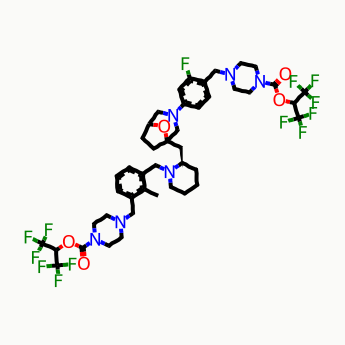 Cc1c(CN2CCN(C(=O)OC(C(F)(F)F)C(F)(F)F)CC2)cccc1CN1CCCC[C@@H]1CC12CCC(CN(c3ccc(CN4CCN(C(=O)OC(C(F)(F)F)C(F)(F)F)CC4)c(F)c3)C1)O2